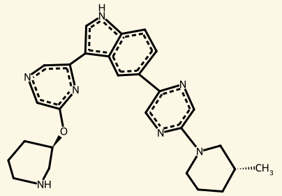 C[C@@H]1CCCN(c2cnc(-c3ccc4[nH]cc(-c5cncc(O[C@@H]6CCCNC6)n5)c4c3)cn2)C1